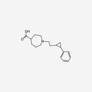 O=C(O)C1CCCN(CCC2CC2c2ccccc2)CC1